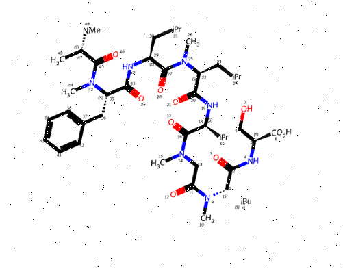 CC[C@H](C)[C@@H](C(=O)N[C@@H](CO)C(=O)O)N(C)C(=O)CN(C)C(=O)[C@@H](NC(=O)[C@H](CC(C)C)N(C)C(=O)[C@H](CC(C)C)NC(=O)[C@H](Cc1ccccc1)N(C)C(=O)[C@H](C)NC)C(C)C